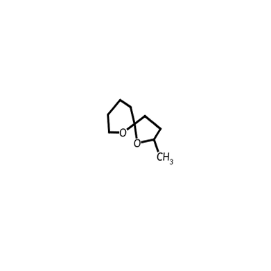 CC1CCC2(CCCCO2)O1